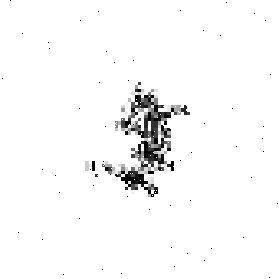 CSCC[C@H](NC(=O)[C@H](C)NC(=O)[C@@H](N)CCC(=O)O)C(=O)N[C@@H](C)C(=O)N1CCC[C@H]1C(=O)N[C@@H](CCCCN)C(=O)N[C@@H](Cc1c[nH]cn1)C(=O)N[C@@H](CCCCN)C(=O)N[C@@H](CCC(=O)O)C(=O)N[C@@H](CCSC)C(=O)N1CCC[C@H]1C(=O)N[C@@H](Cc1ccccc1)C(=O)N1CCC[C@H]1C(=O)N[C@@H](CCCCN)C(=O)O